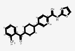 O=C(Nc1nccs1)c1ccc(C2CCC(C(=O)c3ccccc3C(F)(F)F)CC2)cn1